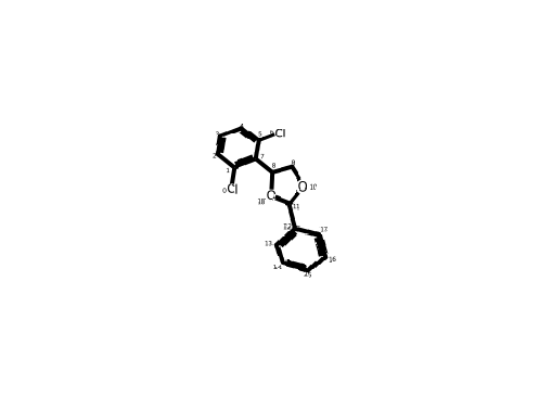 Clc1cccc(Cl)c1C1COC(c2ccccc2)O1